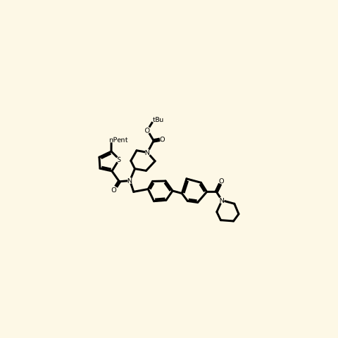 CCCCCc1ccc(C(=O)N(Cc2ccc(-c3ccc(C(=O)N4CCCCC4)cc3)cc2)C2CCN(C(=O)OC(C)(C)C)CC2)s1